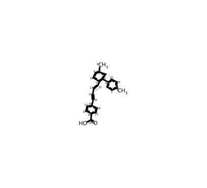 Cc1ccc(-c2cc(C)ccc2/C=C/C#Cc2ccc(C(=O)O)cc2)cc1